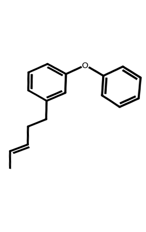 CC=CCCc1cccc(Oc2ccccc2)c1